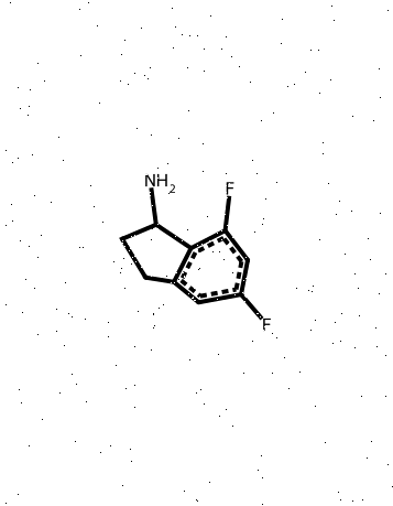 NC1CCc2cc(F)cc(F)c21